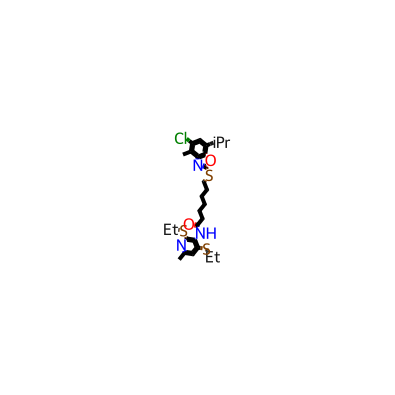 CCSc1cc(C)nc(SCC)c1NC(=O)CCCCCCSc1nc2c(C)c(Cl)cc(C(C)C)c2o1